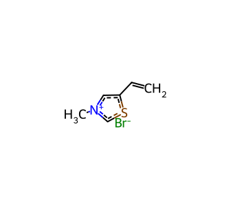 C=Cc1c[n+](C)cs1.[Br-]